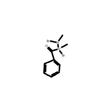 CN(Br)[N+](C)(Br)C(=O)c1ccccc1